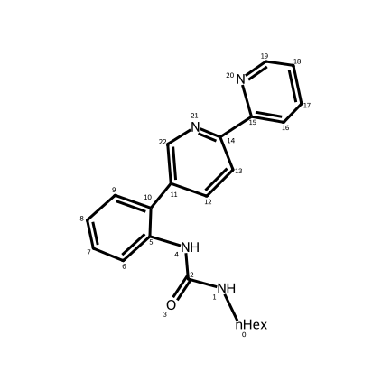 CCCCCCNC(=O)Nc1ccccc1-c1ccc(-c2ccccn2)nc1